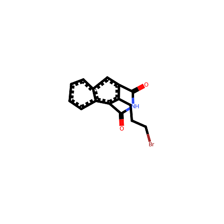 O=C1NC(=O)c2c(CCCBr)c1cc1ccccc21